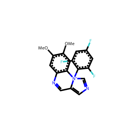 COc1cc2c(cc1OC)[N+]1(c3c(F)cc(F)cc3F)C=NC=C1C=N2